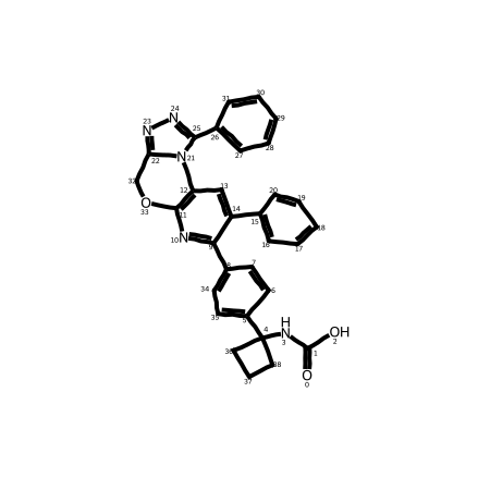 O=C(O)NC1(c2ccc(-c3nc4c(cc3-c3ccccc3)-n3c(nnc3-c3ccccc3)CO4)cc2)CCC1